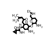 CCNCC1CCC(N)C(OC2CC(CC(O)/C=C(/C)N)C(NC(=N)C3(O)CC3)CC2N)O1